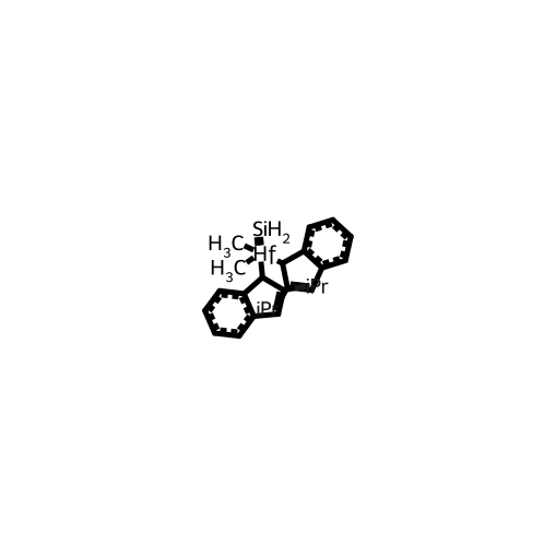 CC(C)C1=Cc2ccccc2[CH]1[Hf]([CH3])([CH3])(=[SiH2])[CH]1C(C(C)C)=Cc2ccccc21